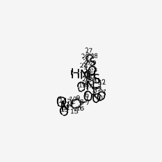 O=CC1=C(C(=O)OCc2ccc([N+](=O)[O-])cc2)N2C(=O)C(NC(=O)Cc3cccs3)[C@@H]2SC1